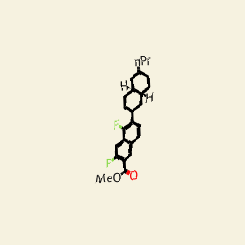 CCCC1CC[C@@H]2CC(c3ccc4cc(C(=O)OC)c(F)cc4c3F)CC[C@H]2C1